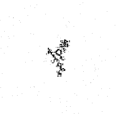 CC1(Cn2c(=O)n(C3CN(C(=O)CCl)C3)c(=O)c3cc(S(=O)(=O)NC4(C)CC4)ccc32)CC1